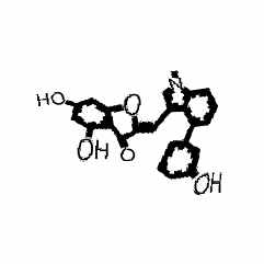 Cn1cc(C=C2Oc3cc(O)cc(O)c3C2=O)c2c(-c3cccc(O)c3)cccc21